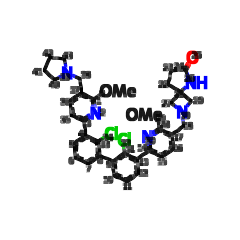 COc1nc(-c2cccc(-c3cccc(-c4ccc(CN5CC6(CCC(=O)N6)C5)c(OC)n4)c3Cl)c2Cl)ccc1CN1CCCC1